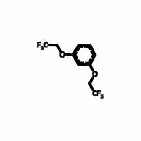 FC(F)(F)COc1cccc(OCC(F)(F)F)c1